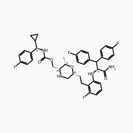 C[C@@H]1O[C@H](CCc2c(F)cccc2N[C@H](C(N)=O)C(c2ccc(F)cc2)c2ccc(F)cc2)CN[C@@H]1COC(=O)N[C@@H](c1ccc(F)cc1)C1CC1